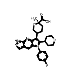 C[C@@]1(C(=O)O)CCC(c2c(C3CCOCC3)n(-c3ccc(F)cc3)c3cc4cn[nH]c4nc23)CO1